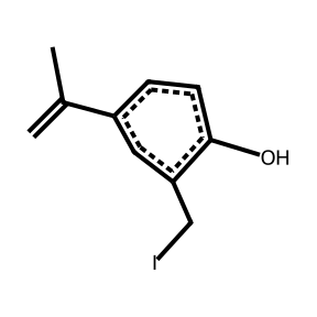 C=C(C)c1ccc(O)c(CI)c1